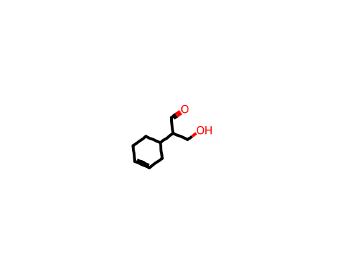 O=CC(CO)C1CC=CCC1